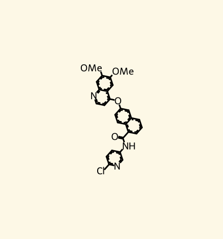 COc1cc2nccc(Oc3ccc4c(C(=O)Nc5ccc(Cl)nc5)cccc4c3)c2cc1OC